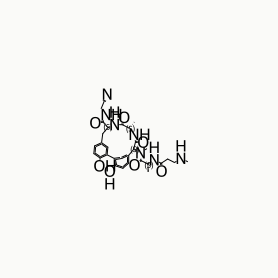 CNCCC(=O)N[C@@H](C)C(=O)N(C)[C@@H]1C(=O)N[C@@H](C)C(=O)N[C@H](C(=O)NCC#N)Cc2ccc(O)c(c2)-c2cc1ccc2O